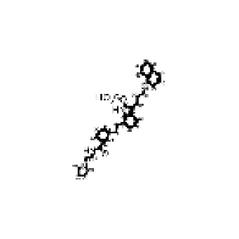 O=C(O)Oc1[nH]c2c(CCc3cccc(C(=O)NCCN4CCCC4)c3)cccc2c1CCCOc1cccc2ccccc12